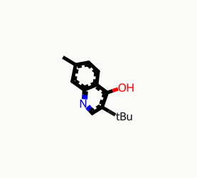 Cc1ccc2c(O)c(C(C)(C)C)cnc2c1